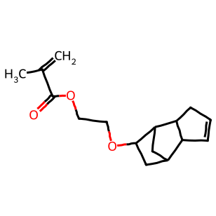 C=C(C)C(=O)OCCOC1CC2CC1C1CC=CC21